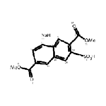 COC(=O)c1ccc2cc(C(=O)OC)c(S(=O)(=O)O)cc2c1.[NaH]